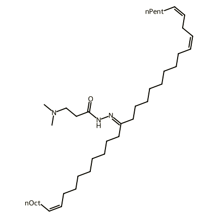 CCCCC/C=C\C/C=C\CCCCCCCCC(CCCCCCCC/C=C\CCCCCCCC)=NNC(=O)CCN(C)C